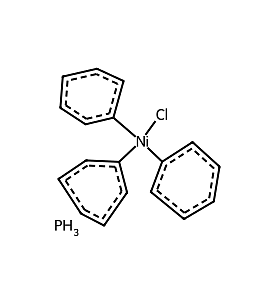 P.[Cl][Ni]([c]1ccccc1)([c]1ccccc1)[c]1ccccc1